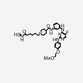 COCCOc1ccc(Nc2ncc(F)c(Nc3cccc(NC(=O)C4CCN(CCCCCC(=O)NO)CC4)c3)n2)cc1